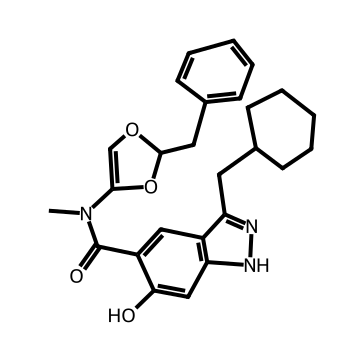 CN(C(=O)c1cc2c(CC3CCCCC3)n[nH]c2cc1O)C1=COC(Cc2ccccc2)O1